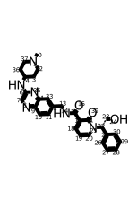 CN1CCC(Nc2cnc3ccc(CNC(=O)c4cccn([C@H](CO)c5ccccc5)c4=O)cc3n2)CC1